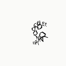 CCCc1nc2c(C)cccc2n1Cc1ccc(OC(C(=O)OCC)c2ccccc2Cl)cc1